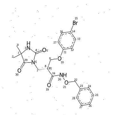 CC1(C)NC(=O)N(C[C@H](COc2ccc(Br)cc2)C(=O)NOCc2ccccc2)C1=O